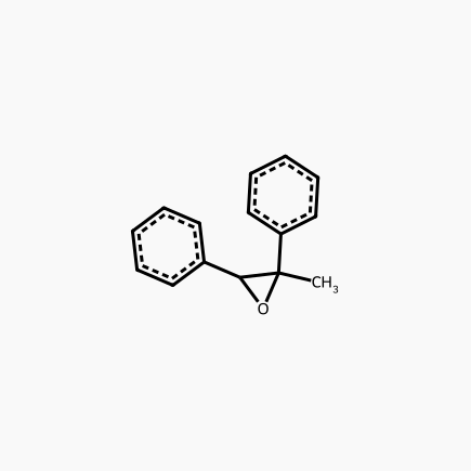 CC1(c2ccccc2)OC1c1ccccc1